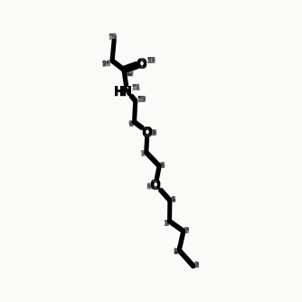 CCCCCOCCOCCNC(=O)CC